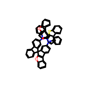 c1ccc(N(c2ccc3c(c2)C2(c4ccccc4-c4ccc(N(c5ccccc5)c5cccc6c5sc5ccccc56)cc42)c2oc4ccccc4c2-3)c2ccc3oc4ccccc4c3c2)cc1